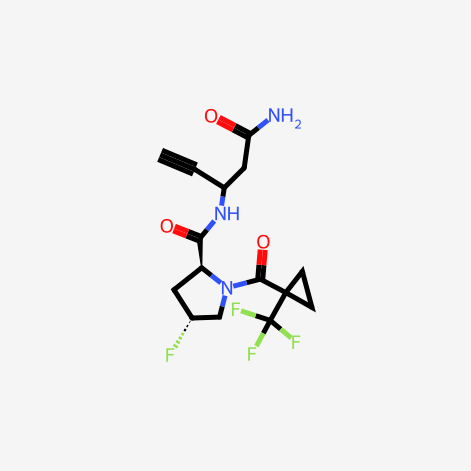 C#CC(CC(N)=O)NC(=O)[C@@H]1C[C@@H](F)CN1C(=O)C1(C(F)(F)F)CC1